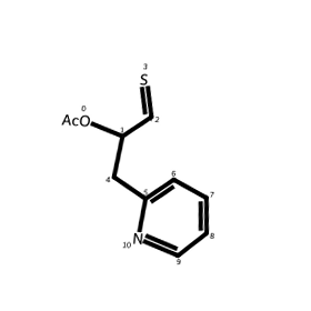 CC(=O)OC([C]=S)Cc1ccccn1